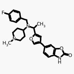 CC(c1cc(-c2ccc3[nH]c(=O)oc3c2)co1)N(Cc1ccc(F)cc1)C1CCN(C)CC1